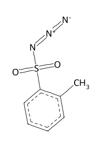 Cc1ccccc1S(=O)(=O)N=[N+]=[N-]